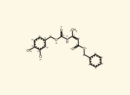 CC(=CC(=O)OCc1ccccc1)NC(=O)OCc1ccc(Cl)c(Cl)c1